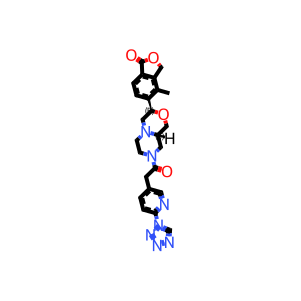 Cc1c([C@@H]2CN3CCN(C(=O)Cc4ccc(-n5cnnn5)nc4)C[C@H]3CO2)ccc2c1COC2=O